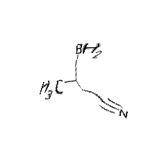 BC(C)C#N